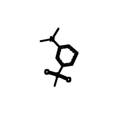 CN(C)c1cccc(S(C)(=O)=O)c1